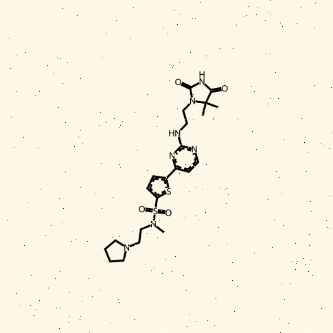 CN(CCN1CCCC1)S(=O)(=O)c1ccc(-c2ccnc(NCCN3C(=O)NC(=O)C3(C)C)n2)s1